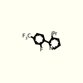 CC(C)c1cccnc1-c1ccc(C(F)(F)F)cc1F